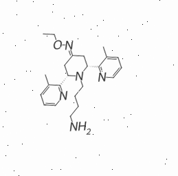 CCO/N=C1/C[C@H](c2ncccc2C)N(CCCCN)[C@H](c2ncccc2C)C1